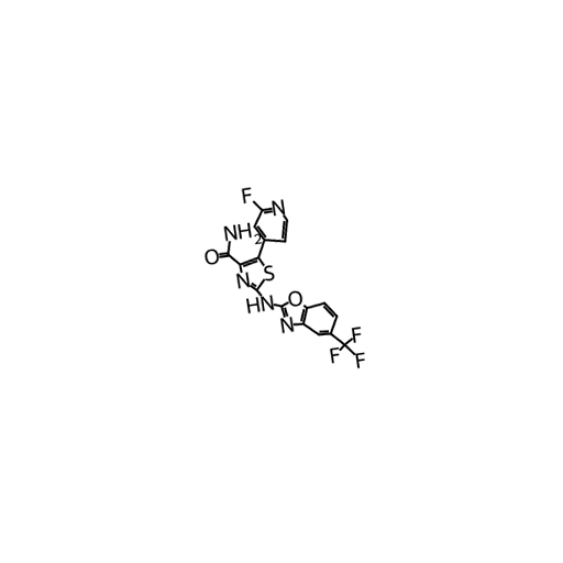 NC(=O)c1nc(Nc2nc3cc(C(F)(F)F)ccc3o2)sc1-c1ccnc(F)c1